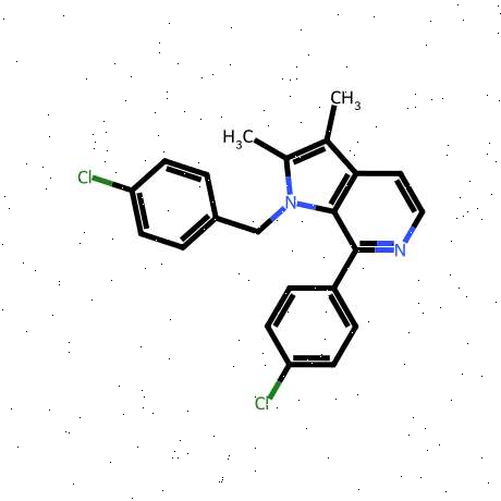 Cc1c(C)n(Cc2ccc(Cl)cc2)c2c(-c3ccc(Cl)cc3)nccc12